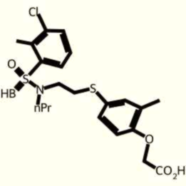 B=S(=O)(c1cccc(Cl)c1C)N(CCC)CCSc1ccc(OCC(=O)O)c(C)c1